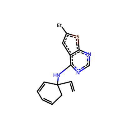 C=CC1(Nc2ncnc3sc(CC)cc23)C=CC=CC1